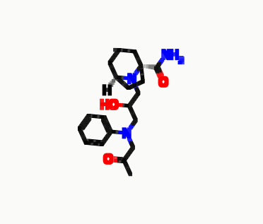 CC(=O)CN(CC(O)CN1[C@@H]2C[CH]C[C@@]1(C(N)=O)CC2)c1ccccc1